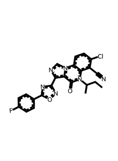 CCC(C)n1c(=O)c2c(-c3noc(-c4ccc(F)cc4)n3)ncn2c2ccc(Cl)c(C#N)c21